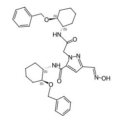 O=C(Cn1nc(C=NO)cc1C(=O)N[C@H]1CCCC[C@@H]1OCc1ccccc1)N[C@H]1CCCC[C@@H]1OCc1ccccc1